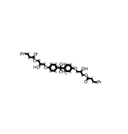 CC(C)CCC(=O)OCC(O)COc1ccc(C(C)(C)c2ccc(OCC(O)COC(=O)CCC(C)C)cc2)cc1